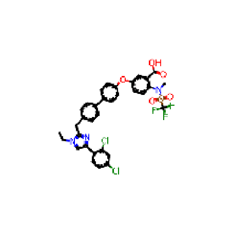 CCn1cc(-c2ccc(Cl)cc2Cl)nc1Cc1ccc(-c2ccc(Oc3ccc(N(C)S(=O)(=O)C(F)(F)F)c(C(=O)O)c3)cc2)cc1